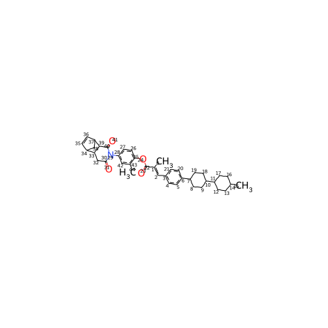 C/C(=C\c1ccc(C2CCC(C3CCC(C)CC3)CC2)cc1)C(=O)Oc1ccc(N2C(=O)CC3C4C=CC(C4)C3C2=O)cc1C